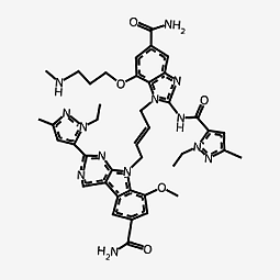 CCn1nc(C)cc1C(=O)Nc1nc2cc(C(N)=O)cc(OCCCNC)c2n1C/C=C/Cn1c2nc(-c3cc(C)nn3CC)ncc2c2cc(C(N)=O)cc(OC)c21